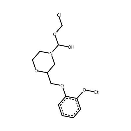 CCOc1ccccc1OCC1CN(C(O)OCCl)CCO1